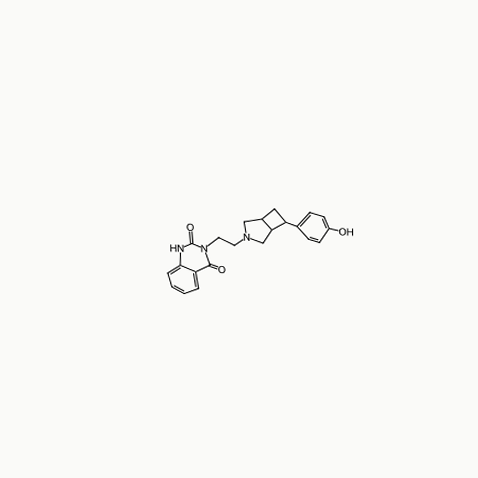 O=c1[nH]c2ccccc2c(=O)n1CCN1CC2CC(c3ccc(O)cc3)C2C1